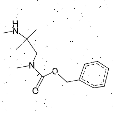 CNC(C)(C)CN(C)C(=O)OCc1ccccc1